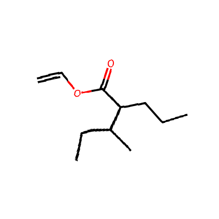 C=COC(=O)C(CCC)C(C)CC